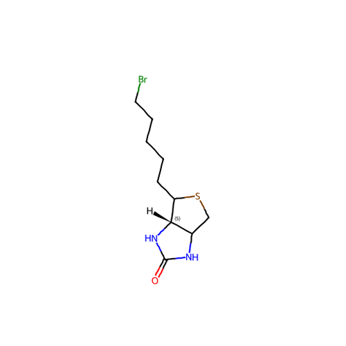 O=C1NC2CSC(CCCCCBr)[C@H]2N1